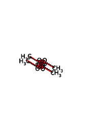 CCCCCCCCCCCCN1C(=O)c2ccc3c4c(c(-c5cc6c7c(ccc8c7c5C(=O)N(CCCCCCCCCCCC)C8=O)C(=O)N(CCCCCCCCCCCC)C6=O)cc(c24)C1=O)C(=O)N(CCCCCCCCCCCC)C3=O